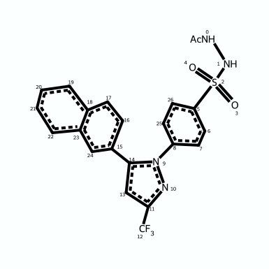 CC(=O)NNS(=O)(=O)c1ccc(-n2nc(C(F)(F)F)cc2-c2ccc3ccccc3c2)cc1